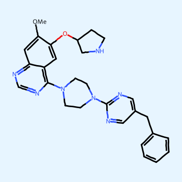 COc1cc2ncnc(N3CCN(c4ncc(Cc5ccccc5)cn4)CC3)c2cc1OC1CCNC1